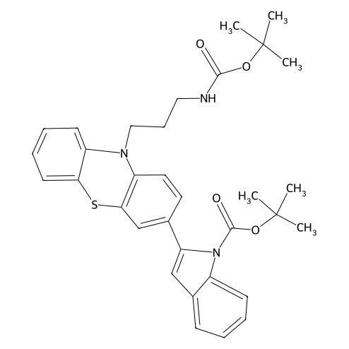 CC(C)(C)OC(=O)NCCCN1c2ccccc2Sc2cc(-c3cc4ccccc4n3C(=O)OC(C)(C)C)ccc21